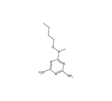 CCCCON(C)c1nc(N)nc(N)n1